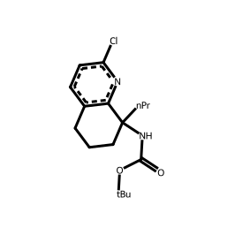 CCCC1(NC(=O)OC(C)(C)C)CCCc2ccc(Cl)nc21